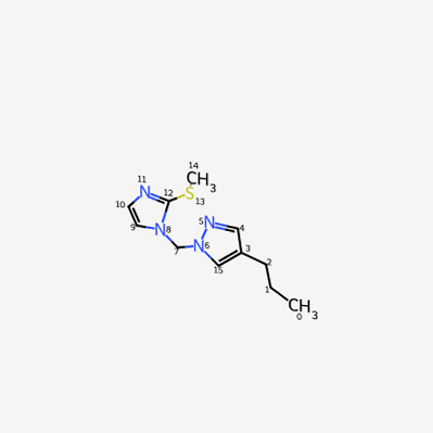 CCCc1cnn(Cn2ccnc2SC)c1